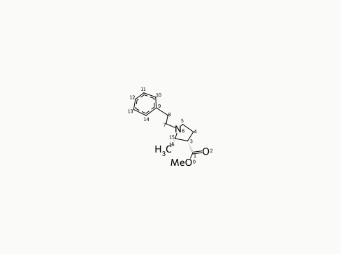 COC(=O)[C@H]1CCN(CCc2ccccc2)[C@H]1C